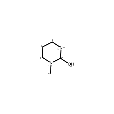 CN1CCCNC1O